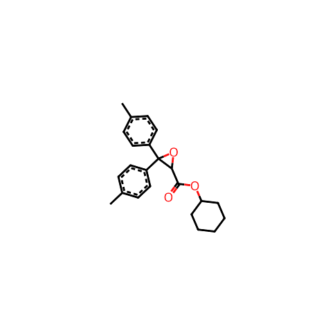 Cc1ccc(C2(c3ccc(C)cc3)OC2C(=O)OC2CCCCC2)cc1